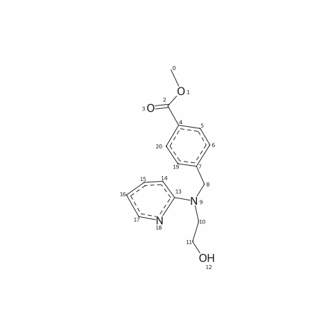 COC(=O)c1ccc(CN(CCO)c2ccccn2)cc1